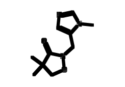 Cn1cncc1CN1OCC(C)(C)C1=O